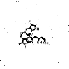 Cc1c(/C=N\N(C=O)Cc2n[nH]cc2F)c2sc(CC(=N)/C=C\N)nc2n1C